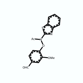 COc1cc(C=O)ccc1ON(C(C)=O)c1nc2ccccc2s1